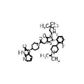 CC(C)N1CCC(c2c(F)cccc2[C@@H]2S[C@@H](CC(=O)N3CCC(n4c(=O)[nH]c5ncccc54)CC3)C(=O)N2CCC(C)(C)C)CC1